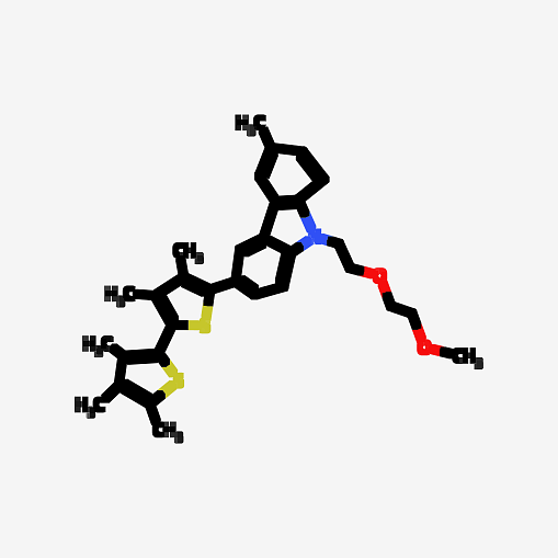 COCCOCCn1c2ccc(C)cc2c2cc(-c3sc(-c4sc(C)c(C)c4C)c(C)c3C)ccc21